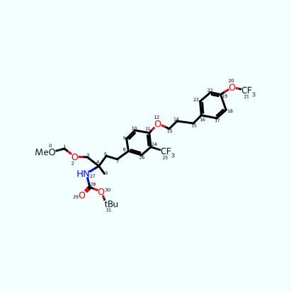 COCOCC(C)(CCc1ccc(OCCCc2ccc(OC(F)(F)F)cc2)c(C(F)(F)F)c1)NC(=O)OC(C)(C)C